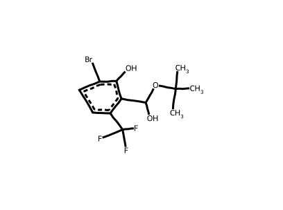 CC(C)(C)OC(O)c1c(C(F)(F)F)ccc(Br)c1O